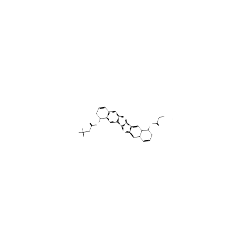 CCC(=O)OC1CC=CC2C=c3sc4c(sc5cc6c(cc54)C(OC(=O)CC(F)(F)F)CC=C6)c3=CC21